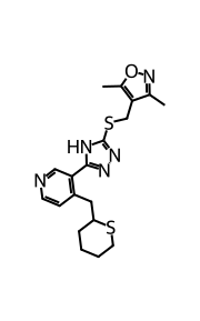 Cc1noc(C)c1CSc1nnc(-c2cnccc2CC2CCCCS2)[nH]1